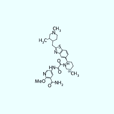 COc1ncc(NC(=O)C(=O)N2C[C@@H](C)CC[C@@H]2c2ccc3sc(CC4CCN(C)CC4C)nc3c2)cc1C(N)=O